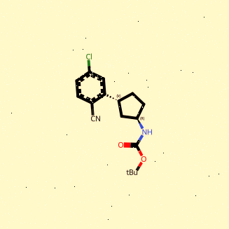 CC(C)(C)OC(=O)N[C@@H]1CC[C@@H](c2cc(Cl)ccc2C#N)C1